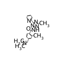 Cc1nc(NC(=O)c2ccc(CN(C)C)cc2C)nc(-c2ccccn2)n1